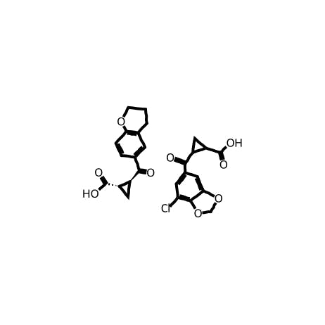 O=C(O)C1CC1C(=O)c1cc(Cl)c2c(c1)OCO2.O=C(O)[C@H]1C[C@@H]1C(=O)c1ccc2c(c1)CCCO2